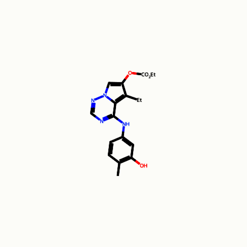 CCOC(=O)Oc1cn2ncnc(Nc3ccc(C)c(O)c3)c2c1CC